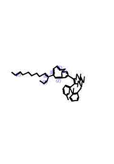 C\C=C/C(=C\CCCCC/C=C/C)C1=C/C=C/C=c2\ccc(-c3nnn(Cc4ccccc4)c3-c3cccc(C)n3)c\c2=C\1